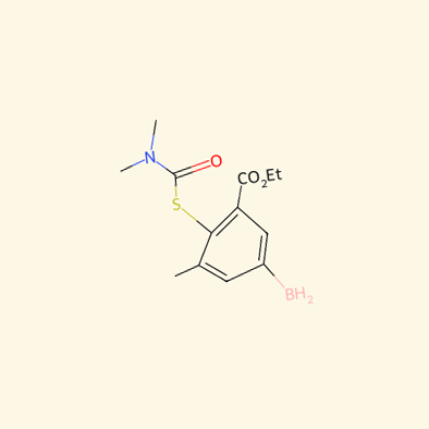 Bc1cc(C)c(SC(=O)N(C)C)c(C(=O)OCC)c1